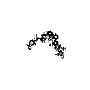 COc1nc(-c2cccc(-c3cccc(-c4ccc5c(CCNC6CCN(C(C)=O)CC6)c[nH]c5n4)c3Cl)c2Cl)ccc1CN(C[C@@H]1CCC(=O)N1)C(=O)O